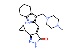 CN1CCN(Cc2c(/C=C3/C(=O)NN=C3C3CC3)[nH]c3c2CCCC3)CC1